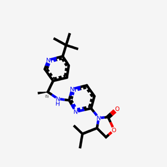 CC(C)C1COC(=O)N1c1ccnc(N[C@@H](C)c2ccc(C(C)(C)C)nc2)n1